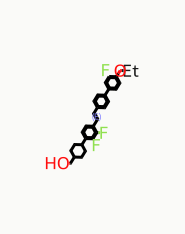 CCOc1ccc(-c2ccc(/C=C/c3ccc(C4CCC(CO)CC4)c(F)c3F)cc2)cc1F